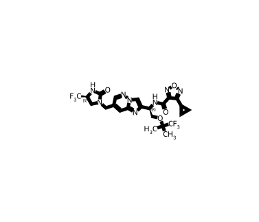 CC(C)(OC[C@H](NC(=O)c1nonc1C1CC1)c1cn2ncc(CN3C[C@@H](C(F)(F)F)NC3=O)cc2n1)C(F)(F)F